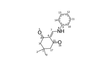 CC1(C)CC(=O)C(=CNc2ccccc2)C(=O)C1